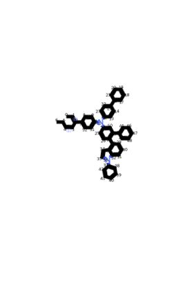 C/C=C(\C=C/CC)c1ccc(N(c2ccc(-c3ccccc3)cc2)c2ccc(-c3cccc4c3ccn4-c3ccccc3)c(-c3ccccc3)c2)cc1